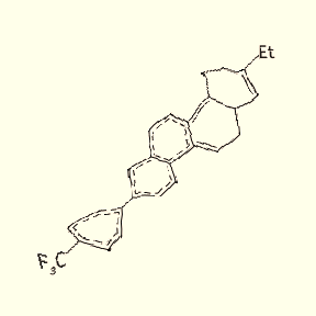 CCC1=CC2CC=c3c(ccc4cc(-c5ccc(C(F)(F)F)cc5)ccc34)=C2CC1